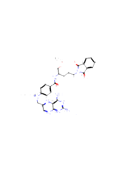 COOCC(CCCN1C(=O)c2ccccc2C1=O)NC(=O)c1ccc(N(C=O)Cc2cnc3nc(N)nc(N)c3n2)cc1